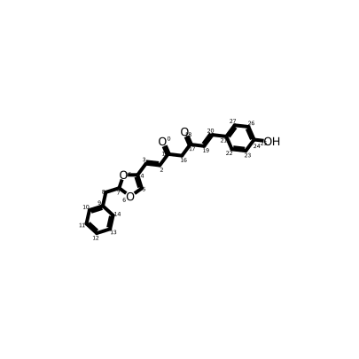 O=C(/C=C/C1=COC(Cc2ccccc2)O1)CC(=O)/C=C/c1ccc(O)cc1